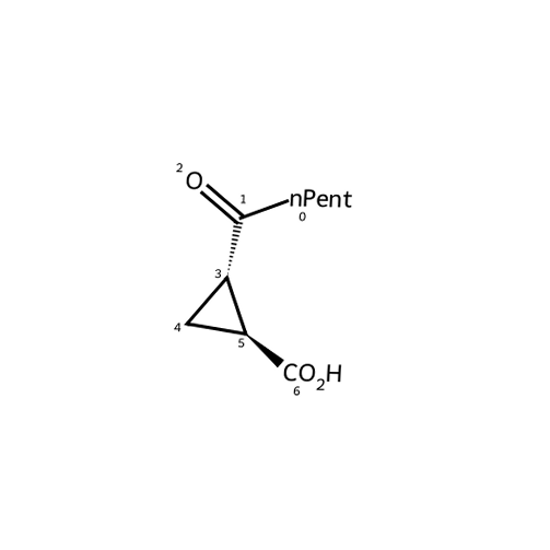 CCCCCC(=O)[C@H]1C[C@@H]1C(=O)O